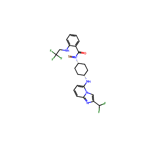 O=C(c1ccccc1NCC(F)(F)F)[N+](=S)[C@H]1CC[C@@H](Nc2cccc3nc(C(F)F)cn23)CC1